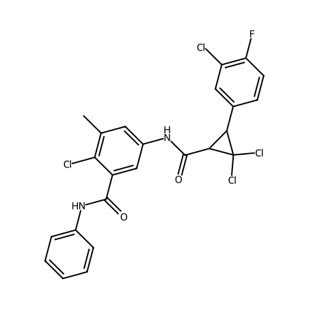 Cc1cc(NC(=O)C2C(c3ccc(F)c(Cl)c3)C2(Cl)Cl)cc(C(=O)Nc2ccccc2)c1Cl